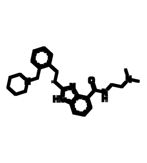 CN(C)CCNC(=O)c1cccc2[nH]c([CH]Cc3ccccc3CN3CCCCC3)nc12